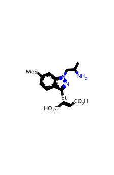 CCc1nn(CC(C)N)c2cc(SC)ccc12.O=C(O)/C=C/C(=O)O